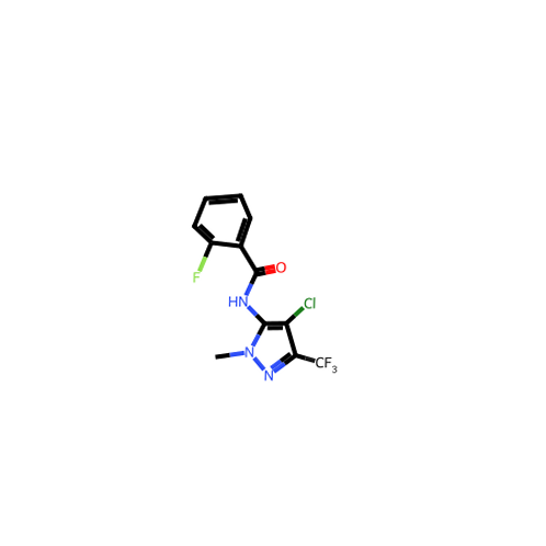 Cn1nc(C(F)(F)F)c(Cl)c1NC(=O)c1ccccc1F